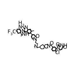 Cc1nc(NC(C)c2cc(N)cc(C(F)(F)F)c2)c2cc(-c3ccn(CCCN(C)CC4CCC5(CC4)CCN(C(=O)c4ccc(Cl)c(-n6ccc(=O)[nH]c6=O)c4)CC5)c(=O)c3)c(C)cc2n1